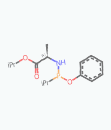 CC(C)OC(=O)[C@@H](C)NP(Oc1ccccc1)C(C)C